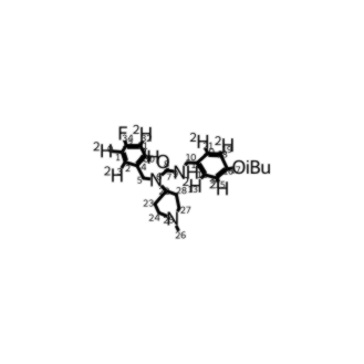 [2H]c1c([2H])c(CN(C(=O)NCc2c([2H])c([2H])c(OCC(C)C)c([2H])c2[2H])C2CCN(C)CC2)c([2H])c([2H])c1F